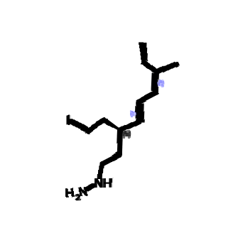 C=C/C(C)=C\C=C\[C@H](CCI)CCNN